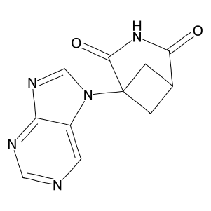 O=C1NC(=O)C2(n3cnc4ncncc43)CC1C2